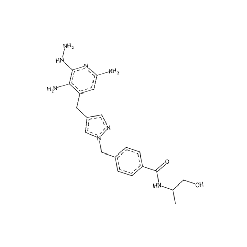 CC(CO)NC(=O)c1ccc(Cn2cc(Cc3cc(N)nc(NN)c3N)cn2)cc1